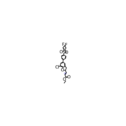 CCOC(=O)/C=C/C1Cc2cc(-c3ccc(S(=O)(=O)N4CC(F)(F)C4)cc3)cc(Cl)c2O1